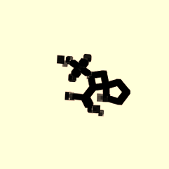 C=C(CC)C1N(S(C)(=O)=O)CC12CCCN2